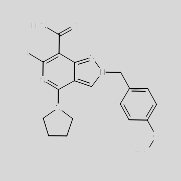 COc1ccc(Cn2cc3c(N4CCCC4)nc(Cl)c(C(N)=O)c3n2)cc1